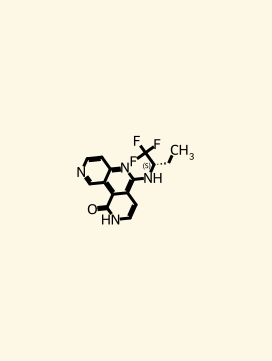 CC[C@H](Nc1nc2ccncc2c2c(=O)[nH]ccc12)C(F)(F)F